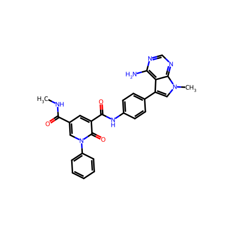 CNC(=O)c1cc(C(=O)Nc2ccc(-c3cn(C)c4ncnc(N)c34)cc2)c(=O)n(-c2ccccc2)c1